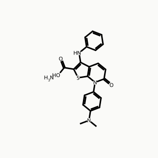 CN(C)c1ccc(-n2c(=O)ccc3c(Nc4ccccc4)c(C(=O)O)sc32)cc1.N